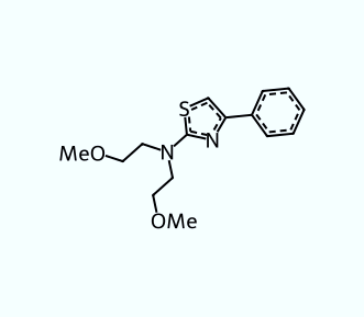 COCCN(CCOC)c1nc(-c2ccccc2)cs1